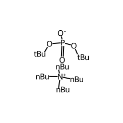 CC(C)(C)OP(=O)([O-])OC(C)(C)C.CCCC[N+](CCCC)(CCCC)CCCC